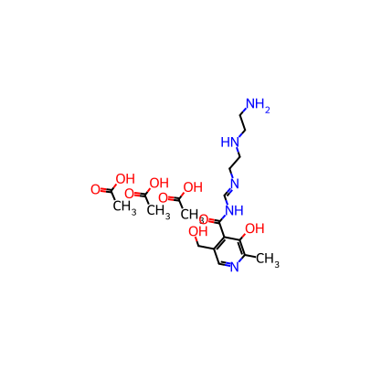 CC(=O)O.CC(=O)O.CC(=O)O.Cc1ncc(CO)c(C(=O)NC=NCCNCCN)c1O